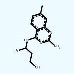 CCCC(CCO)Nc1nc(N)nc2cc(C)ccc12